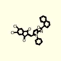 O=C1C(=Cc2cc3oc(-c4cccc5ccccc45)nc3n2-c2ccccc2)C(=O)c2cc(Cl)c(Cl)cc21